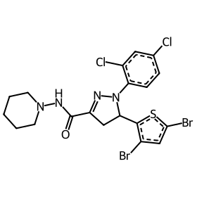 O=C(NN1CCCCC1)C1=NN(c2ccc(Cl)cc2Cl)C(c2sc(Br)cc2Br)C1